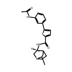 CC(=O)Nc1cccc(-c2ccc(C(=O)N[C@H]3CN4CCC3CC4C)s2)c1